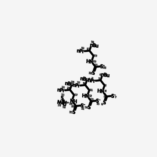 CCCCC(CCC)CNC(=S)[S-].CCCCC(CCC)CNC(=S)[S-].CCCCC(CCC)CNC(=S)[S-].CCCCC(CCC)CNC(=S)[S-].O=S.[Mo+4]